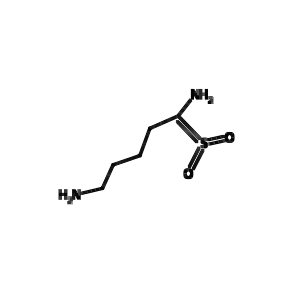 NCCCCC(N)=S(=O)=O